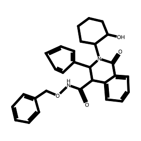 O=C(NOCc1ccccc1)C1c2ccccc2C(=O)N(C2CCCCC2O)C1c1ccccc1